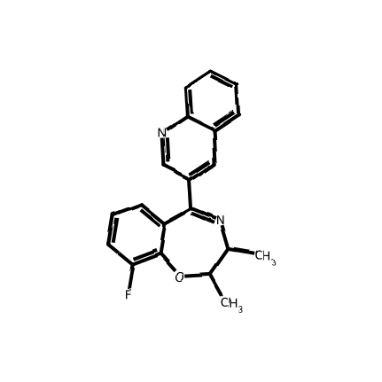 CC1N=C(c2cnc3ccccc3c2)c2cccc(F)c2OC1C